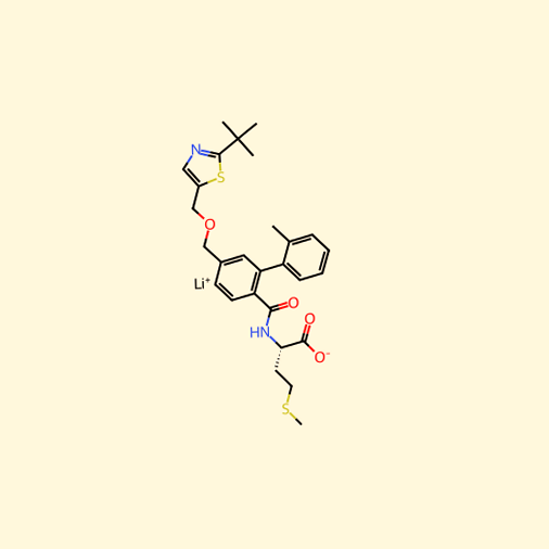 CSCC[C@H](NC(=O)c1ccc(COCc2cnc(C(C)(C)C)s2)cc1-c1ccccc1C)C(=O)[O-].[Li+]